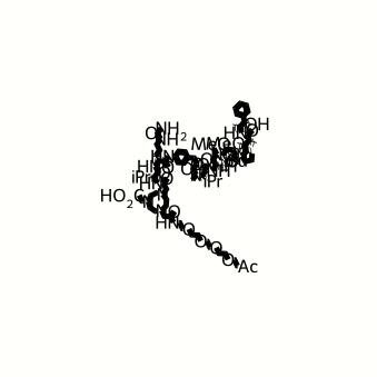 CC[C@H](C)[C@@H]([C@@H](CC(=O)N1CCC[C@H]1[C@H](OC)[C@@H](C)C(=O)N[C@H](C)[C@@H](O)c1ccccc1)OC)N(C)C(=O)[C@@H](NC(=O)[C@H](C(C)C)N(C)C(=O)OCc1ccc(NC(=O)[C@H](CCCNC(N)=O)NC(=O)[C@@H](NC(=O)CN2CCN(CC(=O)O)CCN(CC(=O)NCCOCCOCCOCCOCCC(C)=O)CC2)C(C)C)cc1)C(C)C